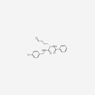 O=CCCC[C@H](NC(=O)c1ccccc1)C(=O)NCc1ccc(F)cc1